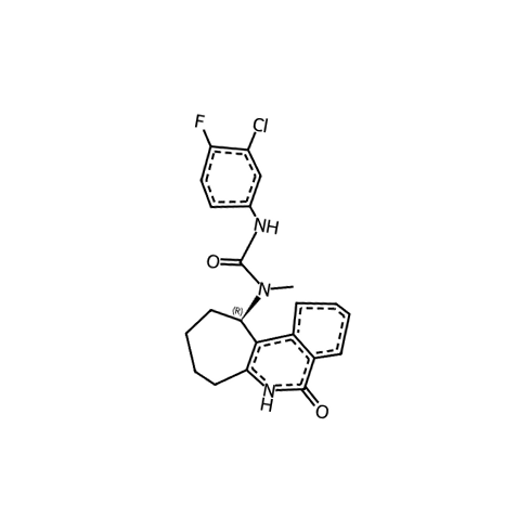 CN(C(=O)Nc1ccc(F)c(Cl)c1)[C@@H]1CCCCc2[nH]c(=O)c3ccccc3c21